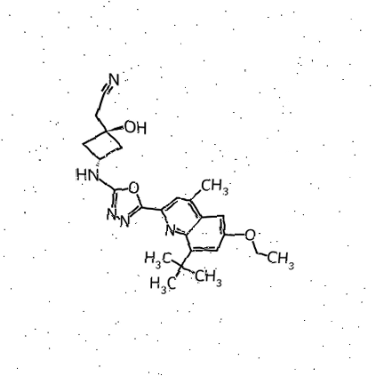 CCOc1cc(C(C)(C)C)c2nc(-c3nnc(N[C@H]4C[C@@](O)(CC#N)C4)o3)cc(C)c2c1